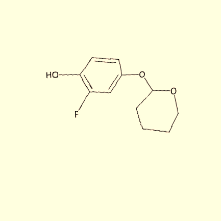 Oc1ccc(OC2CCCCO2)cc1F